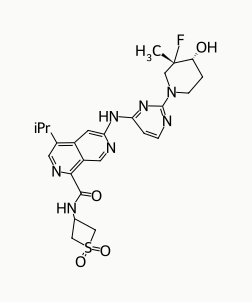 CC(C)c1cnc(C(=O)NC2CS(=O)(=O)C2)c2cnc(Nc3ccnc(N4CC[C@@H](O)[C@@](C)(F)C4)n3)cc12